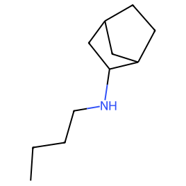 CCCCNC1CC2CCC1C2